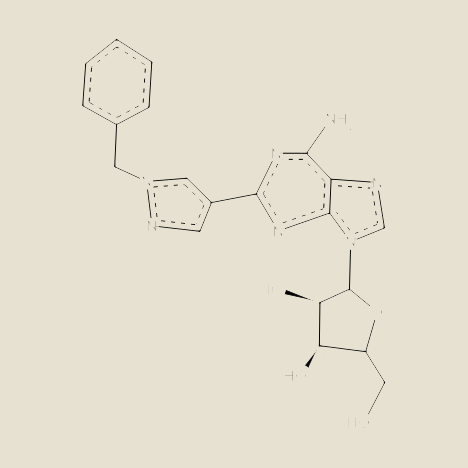 Nc1nc(-c2cnn(Cc3ccccc3)c2)nc2c1ncn2C1OC(CO)[C@@H](O)[C@H]1O